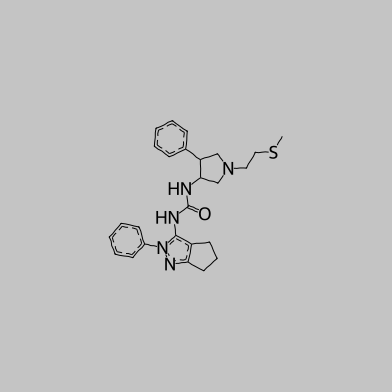 CSCCN1CC(NC(=O)Nc2c3c(nn2-c2ccccc2)CCC3)C(c2ccccc2)C1